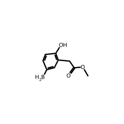 Bc1ccc(O)c(CC(=O)OC)c1